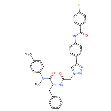 COc1ccc(N(C)C(=O)C(Cc2ccccc2)NC(=O)Cn2cc(-c3ccc(NC(=O)c4ccc(F)cc4)cc3)nn2)cc1